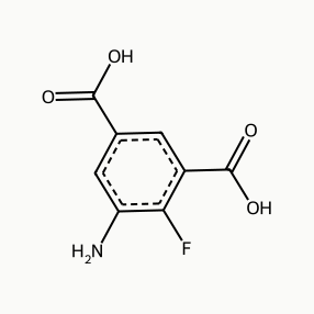 Nc1cc(C(=O)O)cc(C(=O)O)c1F